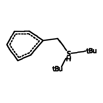 CC(C)(C)[SH](Cc1ccccc1)C(C)(C)C